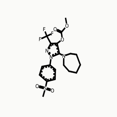 COC(=O)Oc1c(C(F)(F)F)nn(-c2ccc(S(C)(=O)=O)cc2)c1N1CCCCCC1